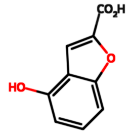 O=C(O)c1cc2c(O)cccc2o1